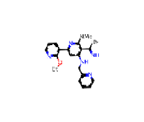 CCOc1ncccc1-c1cc(NCc2ccccn2)c(C(=N)C(C)C)c(NC)n1